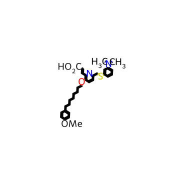 COc1ccc(CCCCCCCCOc2ccc(CSc3cccc(N(C)C)c3)nc2C=CC(=O)O)cc1